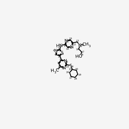 Cc1cc(-c2cnc(Nc3cnc(CN(C)CCO)cn3)s2)nc(SC2CCCCC2)n1